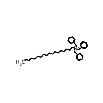 CCCCCCCCCCCCCCCCCC[N+](Cc1ccccc1)(Cc1ccccc1)Cc1ccccc1